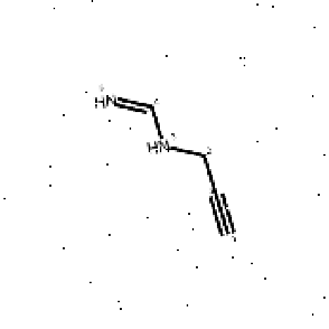 C#CCNC=N